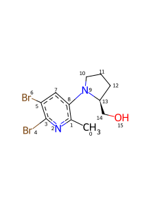 Cc1nc(Br)c(Br)cc1N1CCC[C@H]1CO